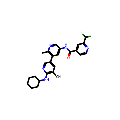 Cc1ncc(NC(=O)c2ccnc(C(F)F)c2)cc1-c1cnc(NC2CCCCC2)c(C#N)c1